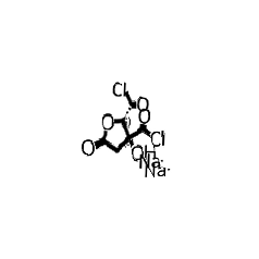 O=C1C[C@@](O)(C(=O)Cl)[C@@H](C(=O)Cl)O1.[Na].[Na]